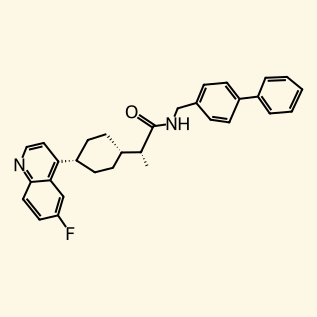 C[C@@H](C(=O)NCc1ccc(-c2ccccc2)cc1)[C@H]1CC[C@@H](c2ccnc3ccc(F)cc32)CC1